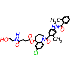 Cc1ccccc1C(=O)Nc1ccc(C(=O)N2CCCC(OC(=O)CCC(=O)NCCO)c3cc(Cl)ccc32)c(C)c1